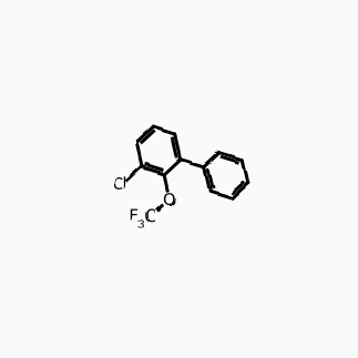 FC(F)(F)Oc1c(Cl)cccc1-c1ccccc1